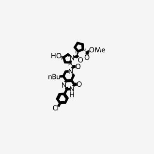 CCCCC1CN(C(=O)[C@@H]2C[C@@H](O)CN2C(=O)[C@H]2CCC[C@@H]2C(=O)OC)Cc2c1nc(-c1ccc(Cl)cc1)[nH]c2=O